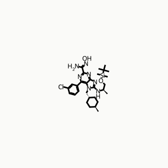 C[C@H](CO[Si](C)(C)C(C)(C)C)Nc1nc2nc(/C(N)=N/O)nc(-c3cccc(Cl)c3)c2n1C[C@H]1CC[C@H](C)CC1